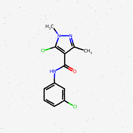 Cc1nn(C)c(Cl)c1C(=O)Nc1cccc(Cl)c1